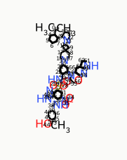 CC(C)c1ccccc1[C@@H]1CCCN1C1CC2(CCN(c3ccc(C(=O)NS(=O)(=O)c4cc([N+](=O)[O-])c(NC[C@H]5CC[C@](C)(O)CC5)c5[nH]cnc45)c(N4CCOc5nc6[nH]ccc6cc54)c3)CC2)C1